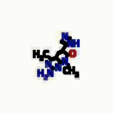 CCn1c(=O)c(-c2cnc[nH]2)cc2c(C)nc(N)nc21